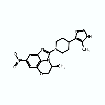 Cc1[nH]cnc1C1CCN(c2nc3cc([N+](=O)[O-])cc4c3n2[C@@H](C)CO4)CC1